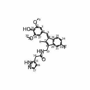 COc1cc(C=C2C(C)=C(CNC(=O)Cc3ccn[nH]3)c3cc(F)ccc32)cc(OC)c1O